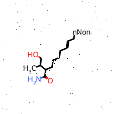 CCCCCCCCCCC=CCCCCC(C(N)=O)C(C)CO